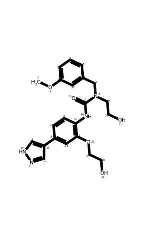 COc1cccc(CN(CCO)C(=O)Nc2ccc(-c3cn[nH]c3)cc2OCCO)c1